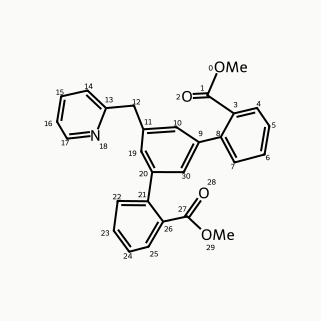 COC(=O)c1ccccc1-c1cc(Cc2ccccn2)cc(-c2ccccc2C(=O)OC)c1